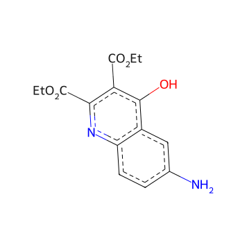 CCOC(=O)c1nc2ccc(N)cc2c(O)c1C(=O)OCC